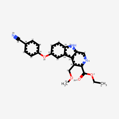 CCOC(=O)c1ncc2[nH]c3ccc(Oc4ccc(C#N)cc4)cc3c2c1COC